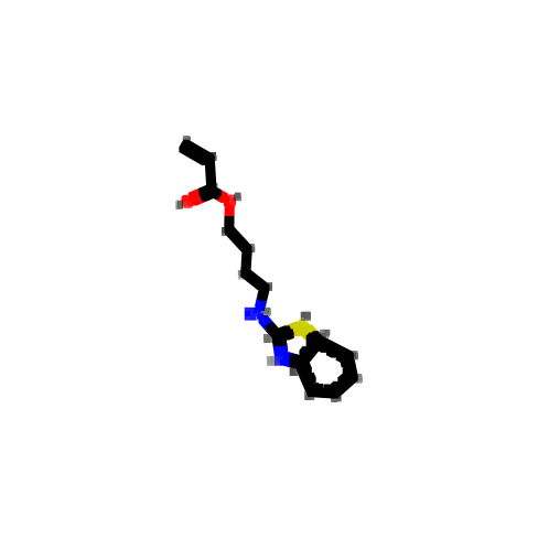 C=CC(=O)OCCCCNc1nc2ccccc2s1